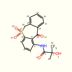 CC(O)(C(=O)Nc1cccc2c1C(=O)c1ccccc1CS2(=O)=O)C(F)(F)F